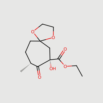 CCOC(=O)[C@]1(O)CC2(CC[C@@H](C)C1=O)OCCO2